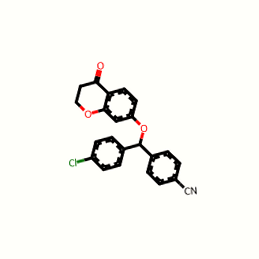 N#Cc1ccc(C(Oc2ccc3c(c2)OCCC3=O)c2ccc(Cl)cc2)cc1